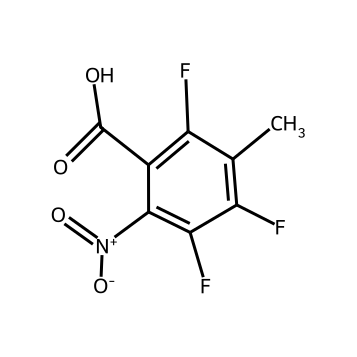 Cc1c(F)c(F)c([N+](=O)[O-])c(C(=O)O)c1F